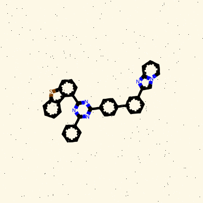 c1ccc(-c2nc(-c3ccc(-c4cccc(-c5cn6ccccc6n5)c4)cc3)nc(-c3cccc4sc5ccccc5c34)n2)cc1